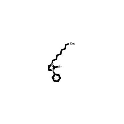 CCCCCCCCCCCCCCCCC[n+]1ccn(-c2ccccc2)c1C(C)C